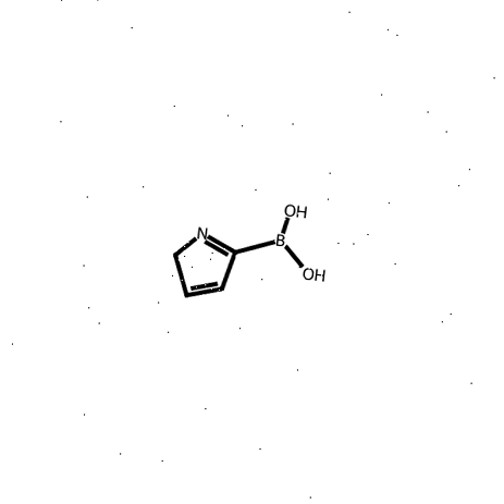 OB(O)C1=NCC=C1